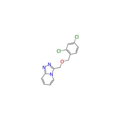 Clc1ccc(COCc2nnc3ccccn23)c(Cl)c1